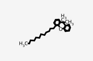 CCCCCCCCCCCCc1cccc2c1Oc1ccccc1C2(C)C